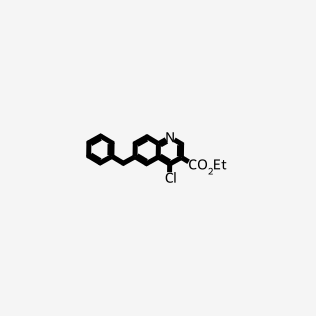 CCOC(=O)c1cnc2ccc(Cc3ccccc3)cc2c1Cl